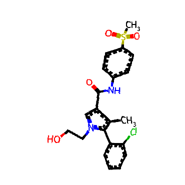 Cc1c(C(=O)Nc2ccc(S(C)(=O)=O)cc2)cn(CCO)c1-c1ccccc1Cl